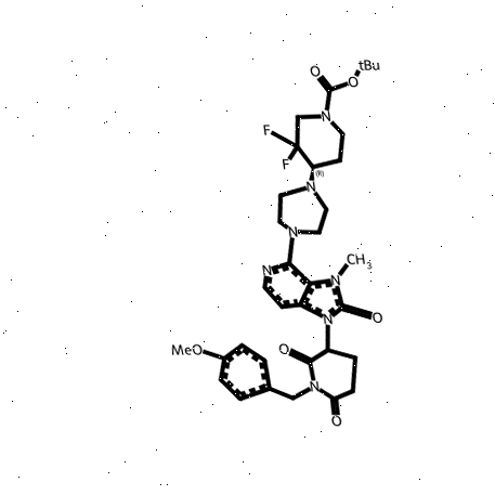 COc1ccc(CN2C(=O)CCC(n3c(=O)n(C)c4c(N5CCN([C@@H]6CCN(C(=O)OC(C)(C)C)CC6(F)F)CC5)nccc43)C2=O)cc1